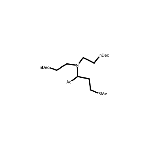 CCCCCCCCCCCCN(CCCCCCCCCCCC)C(CCSC)C(C)=O